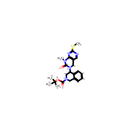 CSc1ncc2c(n1)N(C)C(=O)N(C1CN(C(=O)OC(C)(C)C)Cc3ccccc31)C2